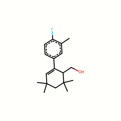 Cc1cc(C2=CC(C)(C)CC(C)(C)C2CO)ccc1F